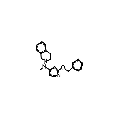 CN(c1ccnc(OCc2ccccc2)c1)N1CCc2ccccc2C1